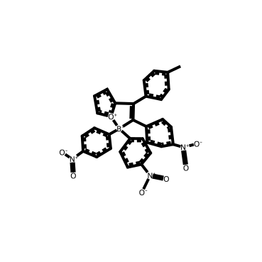 Cc1ccc(C2=C(c3ccc([N+](=O)[O-])cc3)[B-](c3ccc([N+](=O)[O-])cc3)(c3ccc([N+](=O)[O-])cc3)[o+]3cccc32)cc1